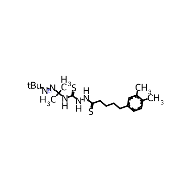 Cc1ccc(CCCCC(=S)NNC(=S)NC(C)(C)/N=N/C(C)(C)C)cc1C